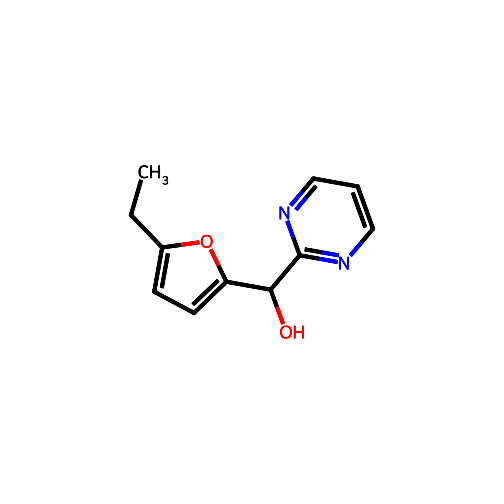 CCc1ccc(C(O)c2ncccn2)o1